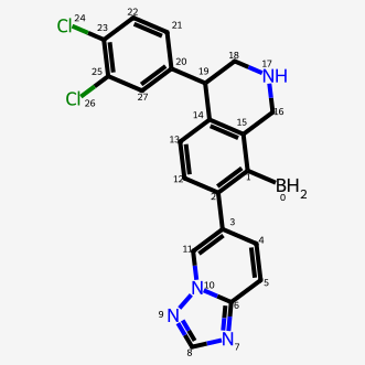 Bc1c(-c2ccc3ncnn3c2)ccc2c1CNCC2c1ccc(Cl)c(Cl)c1